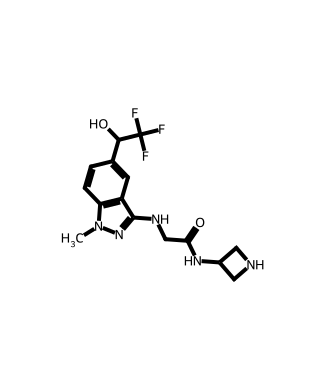 Cn1nc(NCC(=O)NC2CNC2)c2cc(C(O)C(F)(F)F)ccc21